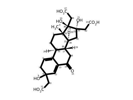 C[C@]12CC[C@@H]3C4=CCC(O)(CC(=O)O)C=C4C(=O)C[C@H]3[C@@H]1C[C@](O)(CC(=O)O)[C@@]2(O)CC(=O)O